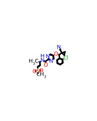 C[C@H](/C=C/S(C)(=O)=O)NC(=O)c1ncc(OC(c2ccccc2Cl)C2(C#N)CC2)cn1